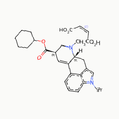 CC(C)n1cc2c3c(cccc31)C1=C[C@@H](C(=O)OC3CCCCC3)CN(C)[C@@H]1C2.O=C(O)/C=C\C(=O)O